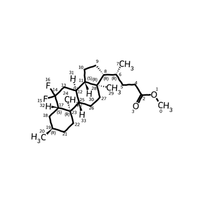 COC(=O)CC[C@@H](C)[C@H]1CC[C@H]2[C@@H]3CC(F)(F)[C@H]4C[C@H](C)CC[C@]4(C)[C@H]3CC[C@]12C